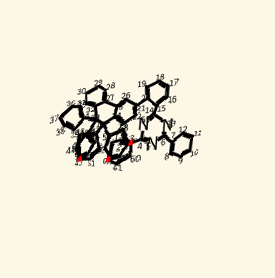 c1ccc(-c2nc(-c3ccccc3)nc(-c3ccccc3-c3ccc4c(c3)-c3ccccc3C(c3ccccc3)(c3ccccc3)C4(c3ccccc3)c3ccccc3)n2)cc1